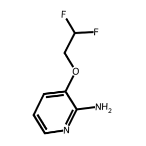 Nc1ncccc1OCC(F)F